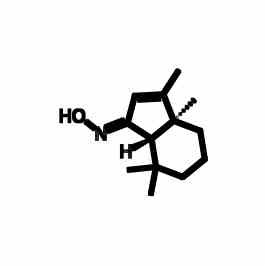 CC1=CC(=NO)[C@H]2C(C)(C)CCC[C@]12C